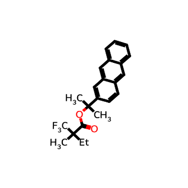 CCC(C)(C(=O)OC(C)(C)c1ccc2cc3ccccc3cc2c1)C(F)(F)F